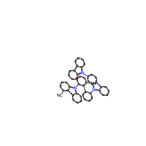 N#Cc1cccc(-n2c3ccccc3c3c(C#N)cccc32)c1-c1ccccc1-n1c2ccccc2c2ccc(-n3c4ccccc4c4ccccc43)cc21